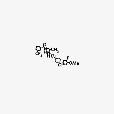 C=C(CNC(=O)c1cccc(C(F)(F)F)c1)NC1CN([C@H]2CC[C@@](O)(c3ccc(OC)c(F)c3)CC2)C1